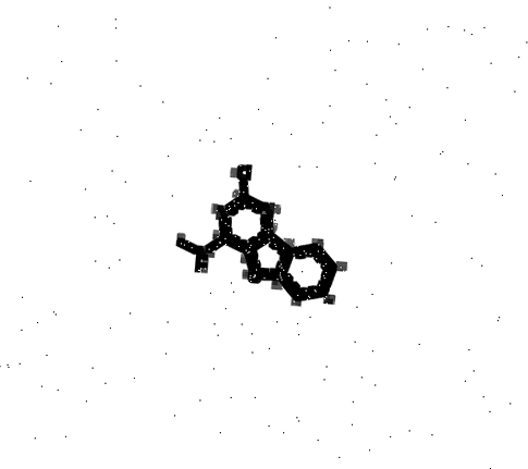 CNc1nc(Cl)nc2c1oc1ccccc12